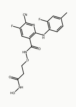 Cc1ccc(Nc2nc(C#N)c(F)cc2C(=O)NOCCC(=O)NO)c(F)c1